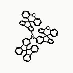 c1ccc2c(c1)Oc1ccccc1C21c2ccccc2-c2cc(N(c3ccc4c(c3)C3(c5ccccc5Oc5ccccc53)c3ccccc3-4)c3ccc4c(c3)C3(c5ccccc5-c5ccccc53)c3ccccc3-4)ccc21